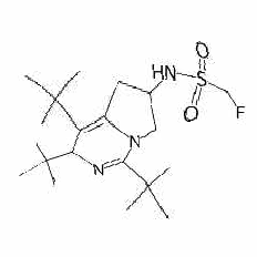 CC(C)(C)C1=NC(C(C)(C)C)C(C(C)(C)C)=C2CC(NS(=O)(=O)CF)CN12